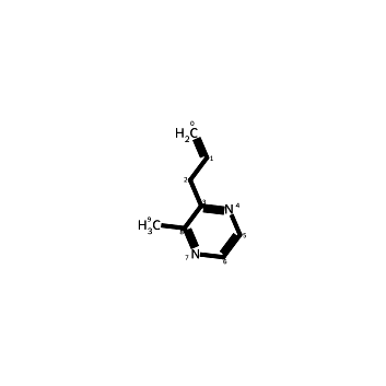 C=CCc1nccnc1C